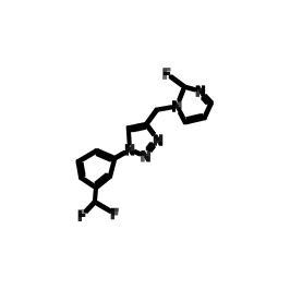 FC(F)c1cccc(-n2cc(CN3C=CC=NC3F)nn2)c1